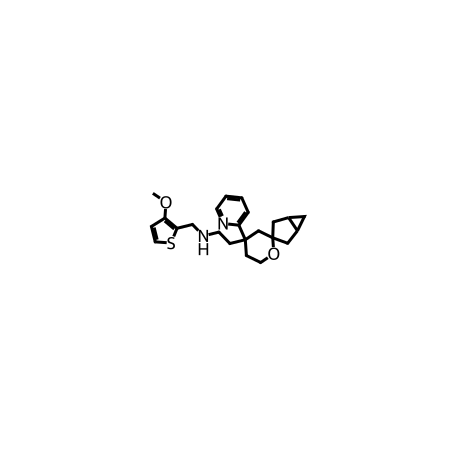 COc1ccsc1CNCCC1(c2ccccn2)CCOC2(CC3CC3C2)C1